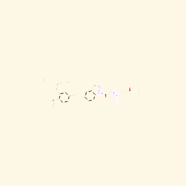 CC(C)Cc1cc(COc2ccc3c(c2)CCN3C(=O)CNCCC(=O)O)ccc1C(F)(F)F